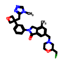 Cn1cnnc1CC1(c2cccc(N3Cc4c(cc(CN5CCOC(CF)C5)cc4C(F)(F)F)C3=O)c2)COC1